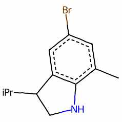 Cc1cc(Br)cc2c1NCC2C(C)C